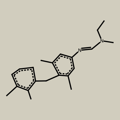 CCN(C)C=Nc1cc(C)c(Cc2cccc(C)c2C)c(C)c1